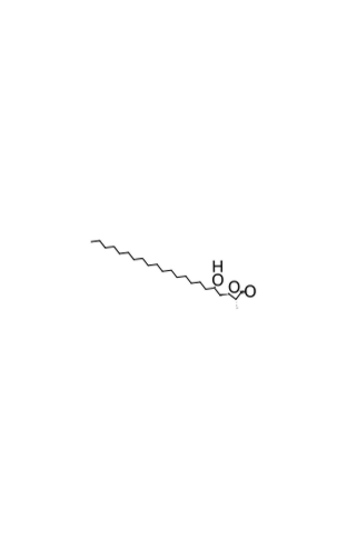 CCCCCCCCCCCCCCCCCC(O)C[C@H]1OC(=O)[C@@H]1C